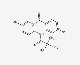 CC(C)(C)C(=O)Nc1ccc(Cl)cc1C(=O)c1cc[n+]([O-])cc1